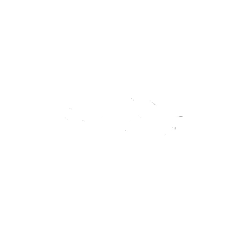 CCC(=O)N[C@]1(C)C[C@@H](Nc2ncc3c(-c4ccc5nnc(C)n5c4)c[nH]c3n2)C1